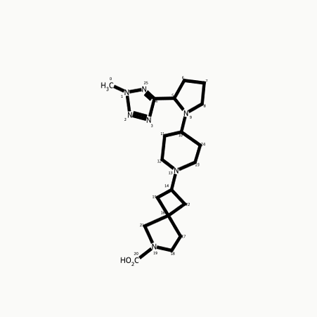 Cn1nnc(C2CCCN2C2CCN(C3CC4(CCN(C(=O)O)C4)C3)CC2)n1